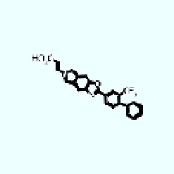 O=C(O)CCN1Cc2cc3nc(-c4ccc(-c5ccccc5)c(C(F)(F)F)c4)oc3cc2C1